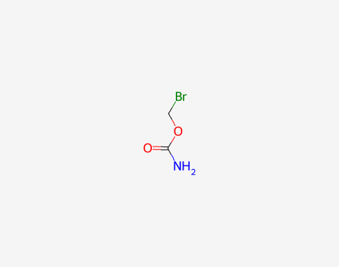 NC(=O)OCBr